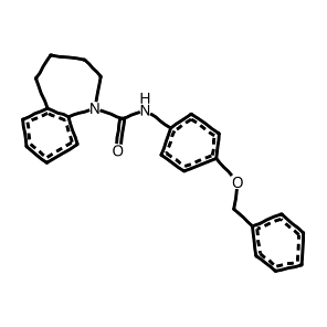 O=C(Nc1ccc(OCc2ccccc2)cc1)N1CCCCc2ccccc21